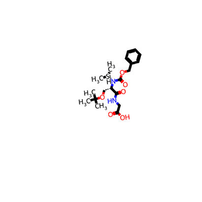 C[SiH](C)N(C(=O)OCc1ccccc1)[C@@H](COC(C)(C)C)C(=O)NCC(=O)O